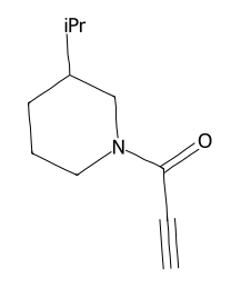 C#CC(=O)N1CCCC(C(C)C)C1